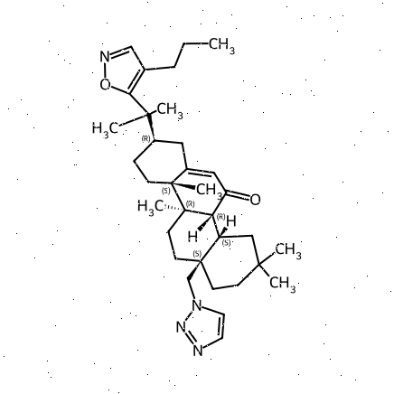 CCCc1cnoc1C(C)(C)[C@@H]1CC[C@]2(C)C(=CC(=O)[C@@H]3[C@@H]4CC(C)(C)CC[C@]4(Cn4ccnn4)CC[C@]32C)C1